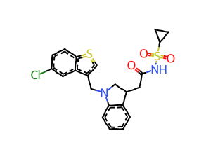 O=C(CC1CN(Cc2csc3ccc(Cl)cc23)c2ccccc21)NS(=O)(=O)C1CC1